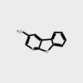 Cc1cnc2oc3ccccc3c2c1